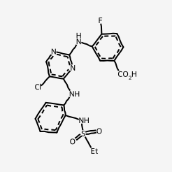 CCS(=O)(=O)Nc1ccccc1Nc1nc(Nc2cc(C(=O)O)ccc2F)ncc1Cl